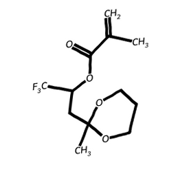 C=C(C)C(=O)OC(CC1(C)OCCCO1)C(F)(F)F